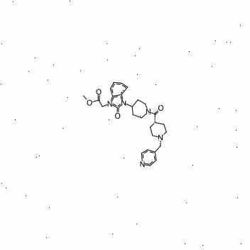 COC(=O)Cn1c(=O)n(C2CCN(C(=O)C3CCN(Cc4ccncc4)CC3)CC2)c2ccccc21